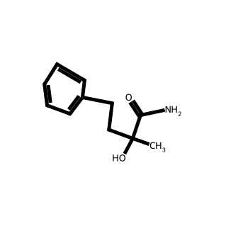 CC(O)(CCc1ccccc1)C(N)=O